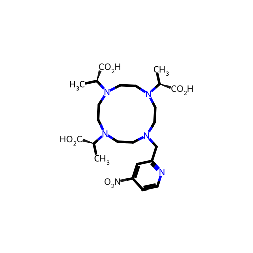 C[C@@H](C(=O)O)N1CCN(Cc2cc([N+](=O)[O-])ccn2)CCN([C@@H](C)C(=O)O)CCN([C@@H](C)C(=O)O)CC1